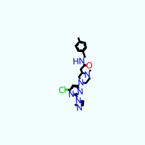 Cc1ccc(CNC(=O)CC2CN(c3cc(Cl)nc(-n4ccnc4)n3)CCN2C)cc1